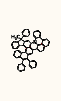 CC1(c2ccccc2)c2ccccc2-c2ccc(N(c3ccccc3-c3ccccc3)c3ccccc3-c3ccc4c(c3)c(-c3ccccc3)c(-c3ccccc3)c3ccccc34)cc21